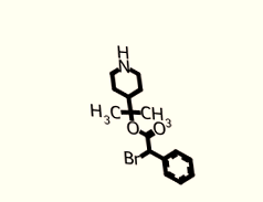 CC(C)(OC(=O)C(Br)c1ccccc1)C1CCNCC1